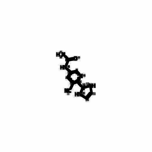 N#Cc1cc(NC(N)=O)cnc1N1NC=CN1